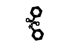 O=S(=O)([N]c1ccccc1)c1ccccc1